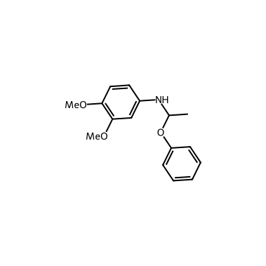 COc1ccc(NC(C)Oc2ccccc2)cc1OC